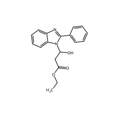 CCOC(=O)CC(O)n1c(-c2ccccc2)nc2ccccc21